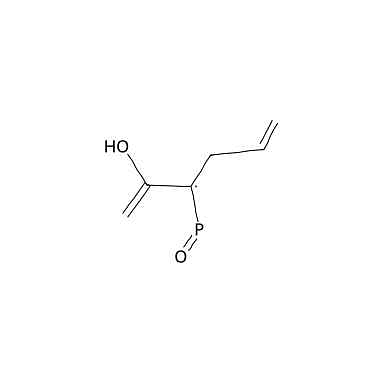 C=CC[C](P=O)C(=C)O